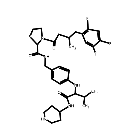 CC(C)C(Nc1ccc(CNC(=O)C2SCCN2C(=O)CC(N)Cc2cc(F)c(F)cc2F)cc1)C(=O)NC1CCNCC1